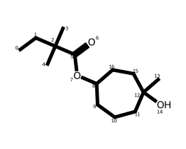 CCC(C)(C)C(=O)OC1CCCC(C)(O)CC1